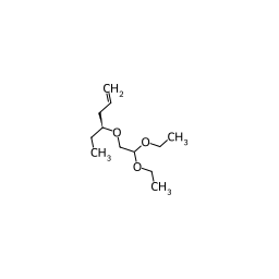 C=CC[C@H](CC)OCC(OCC)OCC